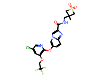 CC1(CNC(=O)c2cn3cc(Oc4ncc(Cl)cc4OCC(F)(F)F)ccc3n2)CS(=O)(=O)C1